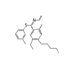 C=C/N=C(/Sc1cccc(C)c1)c1cc(CC)c(CCCCC)cc1C